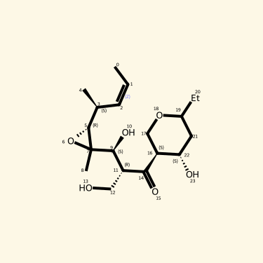 C/C=C\[C@H](C)[C@H]1OC1(C)[C@@H](O)[C@@H](CO)C(=O)[C@H]1COC(CC)C[C@@H]1O